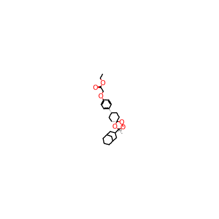 CCOC(=O)COc1ccc([C@H]2CC[C@]3(CC2)OO[C@@](C)(C2CC4CCCC(C4)C2)O3)cc1